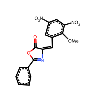 COc1c(C=C2N=C(c3ccccc3)OC2=O)cc([N+](=O)[O-])cc1[N+](=O)[O-]